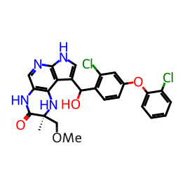 COC[C@]1(C)Nc2c(cnc3[nH]cc(C(O)c4ccc(Oc5ccccc5Cl)cc4Cl)c23)NC1=O